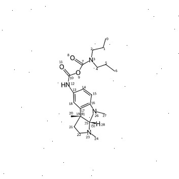 CCCN(CCC)C(=O)OC(=O)Nc1ccc2c(c1)[C@@]1(C)CCN(C)[C@H]1N2C